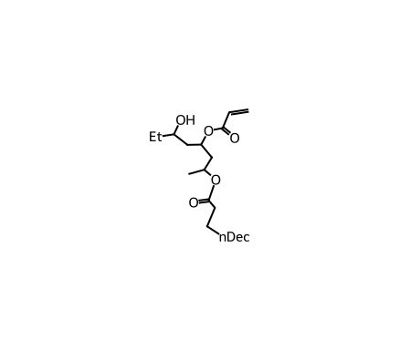 C=CC(=O)OC(CC(O)CC)CC(C)OC(=O)CCCCCCCCCCCC